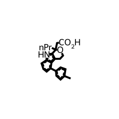 CCCC1(CC(=O)O)OCCc2c1[nH]c1cccc(-c3ccc(C)cc3)c21